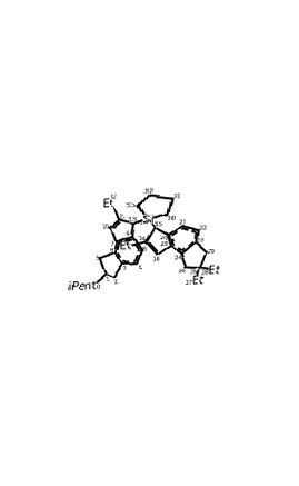 CCCC(C)C1Cc2ccc3c(c2C1)C=C(CC)C3[Si]1(C2C(CC)=Cc3c2ccc2c3CC(CC)(CC)C2)CCCC1